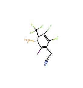 N#CCC1=C(I)C(P)C(C(F)(F)F)C(F)=C1F